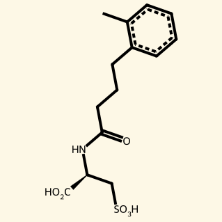 Cc1ccccc1CCCC(=O)N[C@@H](CS(=O)(=O)O)C(=O)O